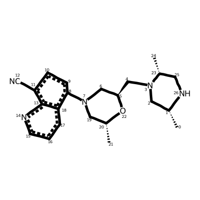 C[C@@H]1CN(C[C@@H]2CN(c3ccc(C#N)c4ncccc34)C[C@@H](C)O2)[C@H](C)CN1